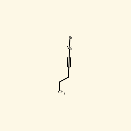 CCCC#[C][Mg][Br]